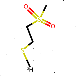 [2H]SCCS(C)(=O)=O